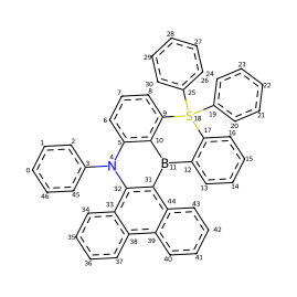 c1ccc(N2c3cccc4c3B(c3ccccc3S4(c3ccccc3)c3ccccc3)c3c2c2ccccc2c2ccccc32)cc1